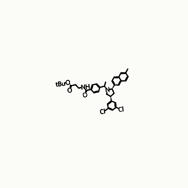 Cc1ccc2cc([C@H]3C[C@@H](c4cc(Cl)cc(Cl)c4)CN3C(C)c3ccc(C(=O)NCCC(=O)OC(C)(C)C)cc3)ccc2c1